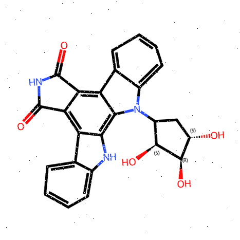 O=C1NC(=O)c2c1c1c3ccccc3[nH]c1c1c2c2ccccc2n1C1C[C@H](O)[C@@H](O)[C@H]1O